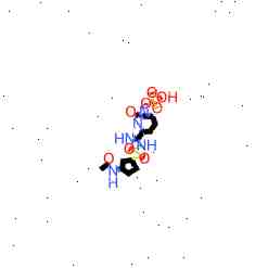 CC(=O)NC1CCC(S(=O)(=O)NC(=N)C2CCC3CN2C(=O)N3OS(=O)(=O)O)C1